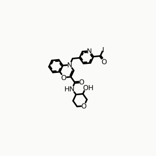 O=C(NC1CCOCC1O)C1=CN(Cc2ccc(C(=O)I)nc2)c2ccccc2O1